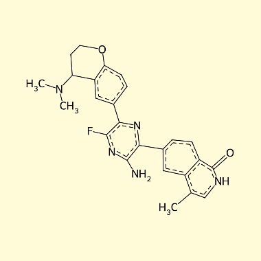 Cc1c[nH]c(=O)c2ccc(-c3nc(-c4ccc5c(c4)C(N(C)C)CCO5)c(F)nc3N)cc12